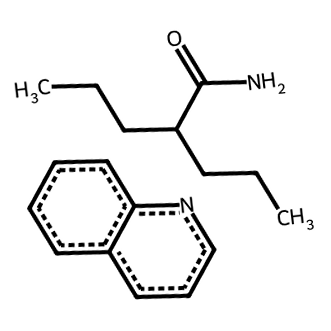 CCCC(CCC)C(N)=O.c1ccc2ncccc2c1